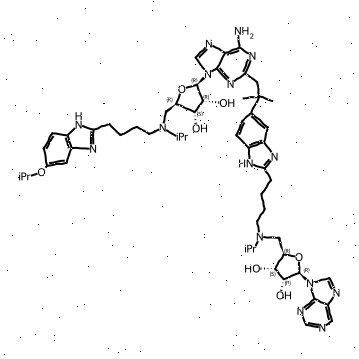 CC(C)Oc1ccc2[nH]c(CCCCN(C[C@H]3O[C@@H](n4cnc5c(N)nc(CC(C)(C)c6ccc7[nH]c(CCCCN(C[C@H]8O[C@@H](n9cnc%10cncnc%109)[C@H](O)[C@@H]8O)C(C)C)nc7c6)nc54)[C@H](O)[C@@H]3O)C(C)C)nc2c1